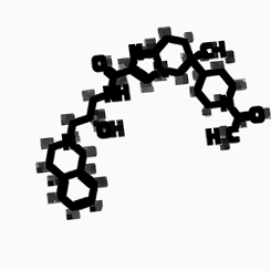 CC(=O)N1CCC([C@@]2(C)CCc3nc(C(=O)NC[C@H](O)CN4CCc5ccccc5C4)cn3C2)CC1